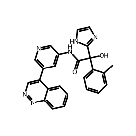 Cc1ccccc1C(O)(C(=O)Nc1cncc(-c2cnnc3ccccc23)c1)c1ncc[nH]1